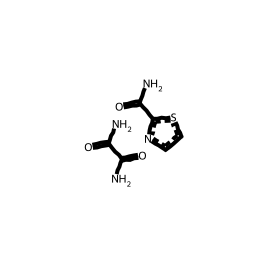 NC(=O)C(N)=O.NC(=O)c1nccs1